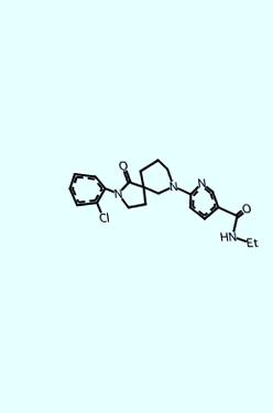 CCNC(=O)c1ccc(N2CCCC3(CCN(c4ccccc4Cl)C3=O)C2)nc1